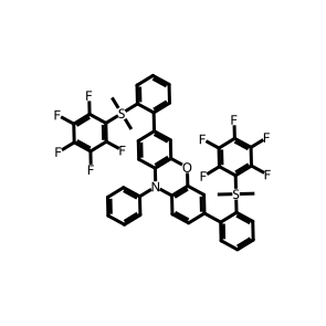 CS(C)(c1ccccc1-c1ccc2c(c1)Oc1cc(-c3ccccc3S(C)(C)c3c(F)c(F)c(F)c(F)c3F)ccc1N2c1ccccc1)c1c(F)c(F)c(F)c(F)c1F